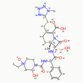 CC[N+]1([O-])CCN(C(=O)NC(C(=O)N[C@]2(CO)C(=O)N3C(C(=O)O)=C(CSc4nnnn4C)CS[C@H]32)c2ccccc2)C(O)C1